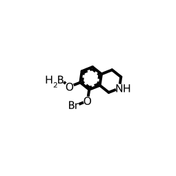 BOc1ccc2c(c1OBr)CNCC2